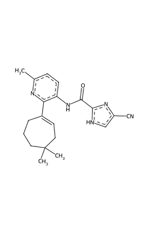 Cc1ccc(NC(=O)c2nc(C#N)c[nH]2)c(C2=CCC(C)(C)CCC2)n1